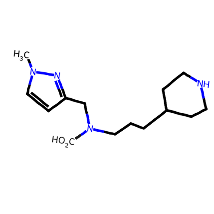 Cn1ccc(CN(CCCC2CCNCC2)C(=O)O)n1